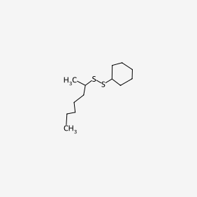 CCCCCC(C)SSC1CCCCC1